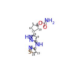 NC(=O)O[C@H]1CCC(c2cc(Nc3ccsn3)n[nH]2)C1